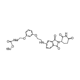 CC(C)(C)OC(=O)NCCOc1cccc(OCCNc2ccc3c(c2)C(=O)N(C2CCC(=O)NC2=O)C3=O)c1